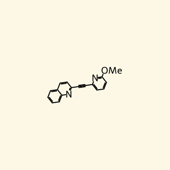 COc1cccc(C#Cc2ccc3ccccc3n2)n1